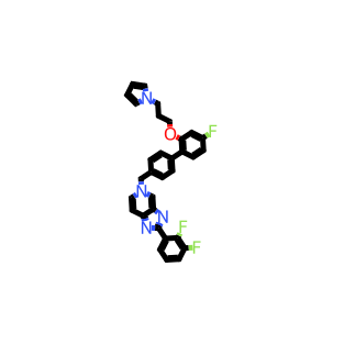 Fc1ccc(-c2ccc(Cn3ccc4nc(-c5cccc(F)c5F)nc-4c3)cc2)c(OCCCn2cccc2)c1